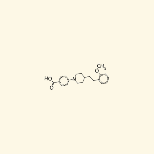 COc1ccccc1CCC1CCN(c2ccc(C(=O)O)cc2)CC1